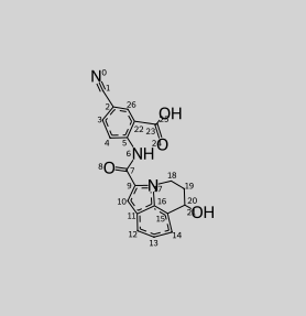 N#Cc1ccc(NC(=O)c2cc3cccc4c3n2CCC4O)c(C(=O)O)c1